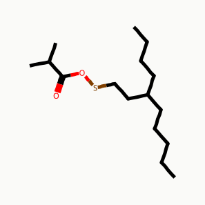 CCCCCC(CCCC)CCSOC(=O)C(C)C